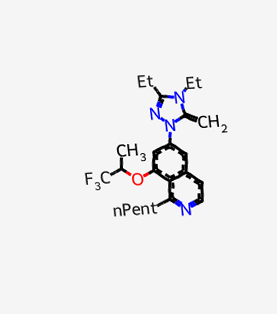 C=C1N(CC)C(CC)=NN1c1cc(OC(C)C(F)(F)F)c2c(CCCCC)nccc2c1